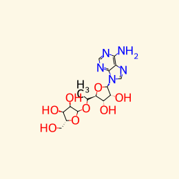 CC(OC1O[C@H](CO)[C@@H](O)[C@H]1O)[C@H]1O[C@@H](n2cnc3c(N)ncnc32)[C@H](O)[C@@H]1O